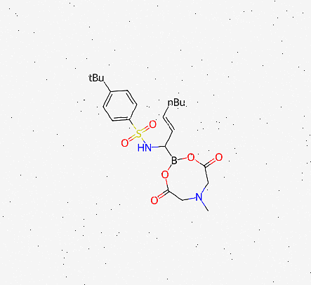 CCCC/C=C/C(NS(=O)(=O)c1ccc(C(C)(C)C)cc1)B1OC(=O)CN(C)CC(=O)O1